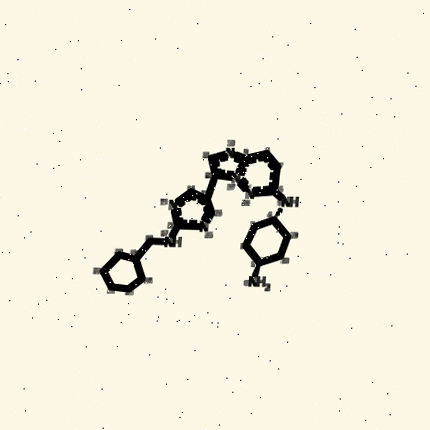 N[C@H]1CC[C@H](Nc2ccc3ncc(-c4cnc(NCC5CCCCC5)nc4)n3n2)CC1